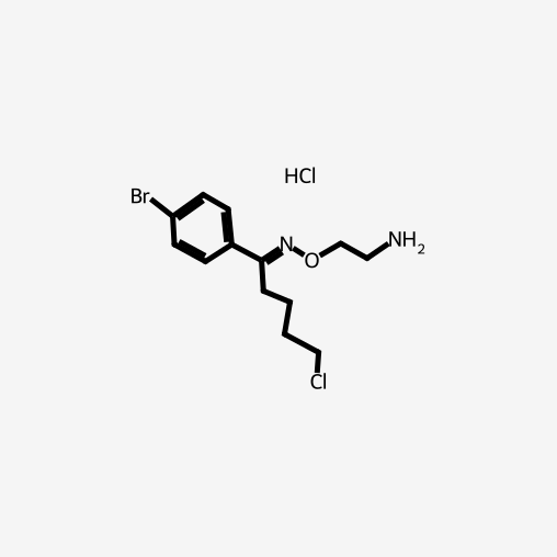 Cl.NCCON=C(CCCCCl)c1ccc(Br)cc1